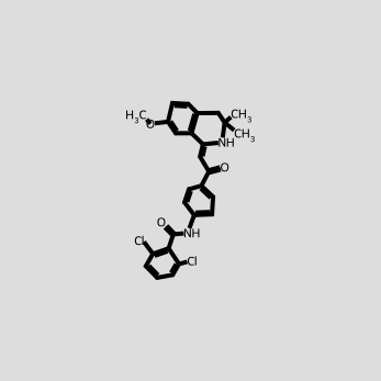 COc1ccc2c(c1)/C(=C/C(=O)c1ccc(NC(=O)c3c(Cl)cccc3Cl)cc1)NC(C)(C)C2